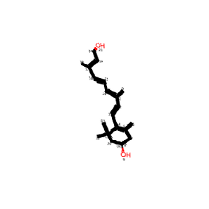 CC(C=CC1=C(C)C[C@@H](O)CC1(C)C)=CC=CC(C)=CCO